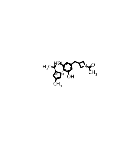 C=C(C)[C@@H]1CC(C)=C[C@H]1c1c(O)cc(CC2CN(C(C)=O)C2)cc1O